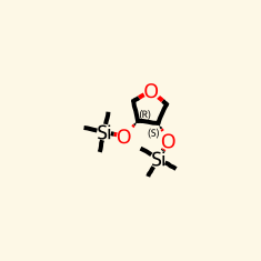 C[Si](C)(C)O[C@H]1COC[C@H]1O[Si](C)(C)C